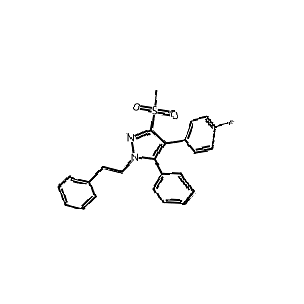 CS(=O)(=O)c1nn(CCc2ccccc2)c(-c2ccccc2)c1-c1ccc(F)cc1